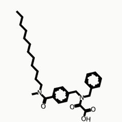 CCCCCCCCCCCCN(C)C(=O)c1ccc(CN(Cc2ccccc2)C(=O)C(=O)O)cc1